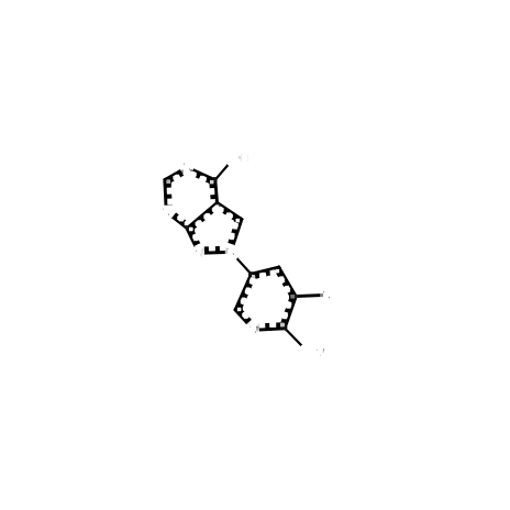 COc1ncc(-n2cc3c(O)ncnc3n2)cc1[N+](=O)[O-]